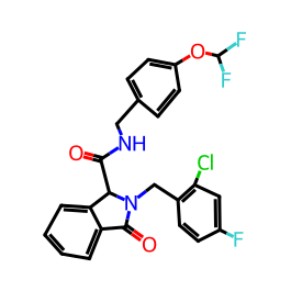 O=C(NCc1ccc(OC(F)F)cc1)C1c2ccccc2C(=O)N1Cc1ccc(F)cc1Cl